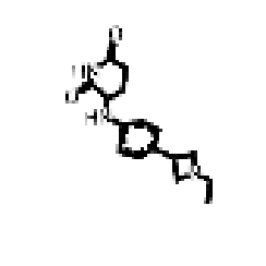 CCN1CC(c2ccc(NC3CCC(=O)NC3=O)cc2)C1